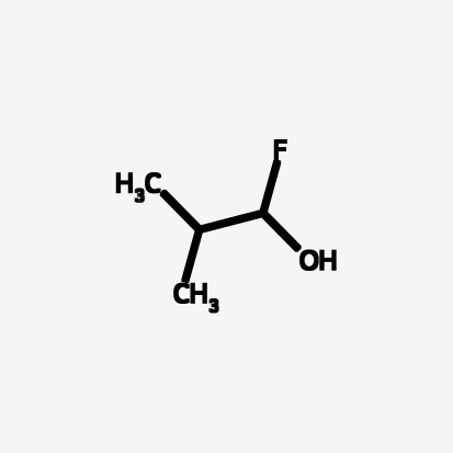 CC(C)C(O)F